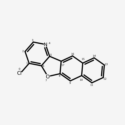 Clc1ccnc2c1oc1cc3ccccc3cc12